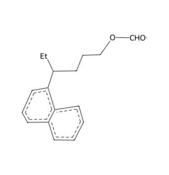 CCC(CCCO[C]=O)c1cccc2ccccc12